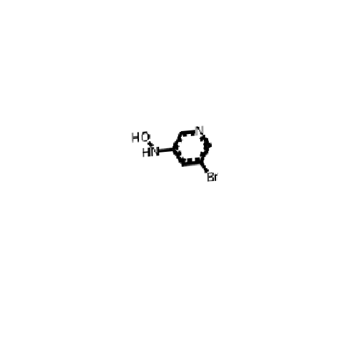 ONc1cncc(Br)c1